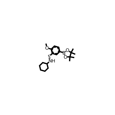 COc1ccc(B2OC(C)(C)C(C)(C)O2)cc1SNC1CCCCC1